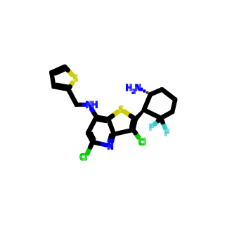 N[C@@H]1CCCC(F)(F)[C@H]1c1sc2c(NCc3cccs3)cc(Cl)nc2c1Cl